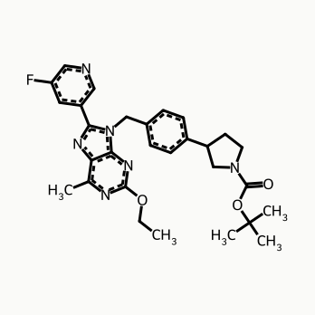 CCOc1nc(C)c2nc(-c3cncc(F)c3)n(Cc3ccc(C4CCN(C(=O)OC(C)(C)C)C4)cc3)c2n1